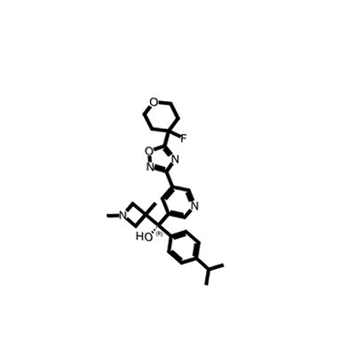 CC(C)c1ccc([C@](O)(c2cncc(-c3noc(C4(F)CCOCC4)n3)c2)C2(C)CN(C)C2)cc1